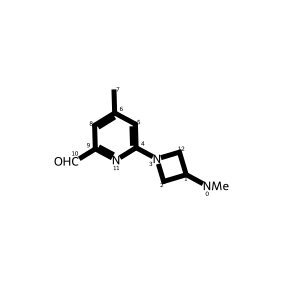 CNC1CN(c2cc(C)cc(C=O)n2)C1